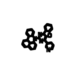 c1cncc(-c2nc(N3c4ccccc4-c4cccc5cccc3c45)nc3c2oc2ccccc23)c1